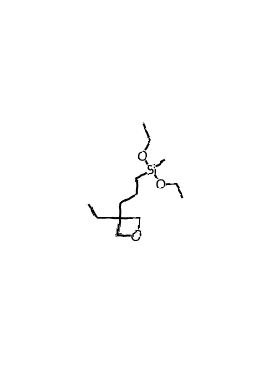 CCO[Si](C)(CCCC1(CC)COC1)OCC